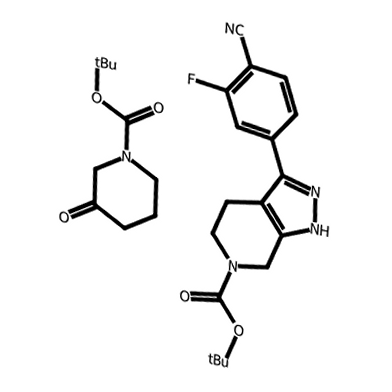 CC(C)(C)OC(=O)N1CCCC(=O)C1.CC(C)(C)OC(=O)N1CCc2c(-c3ccc(C#N)c(F)c3)n[nH]c2C1